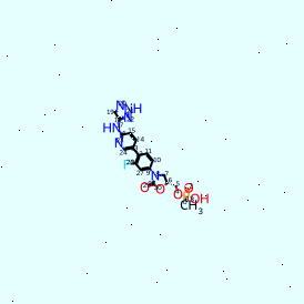 CP(=O)(O)OC[C@H]1CN(c2ccc(-c3ccc(Nc4cn[nH]n4)nc3)c(F)c2)C(=O)O1